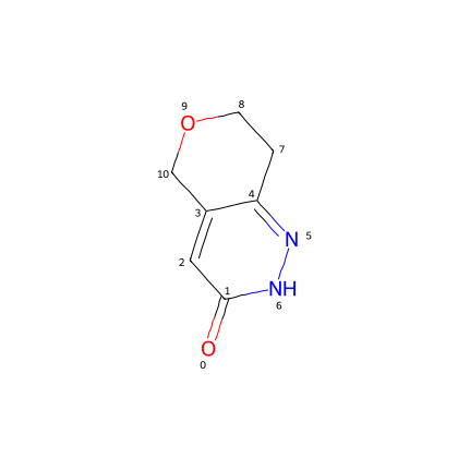 O=c1cc2c(n[nH]1)CCOC2